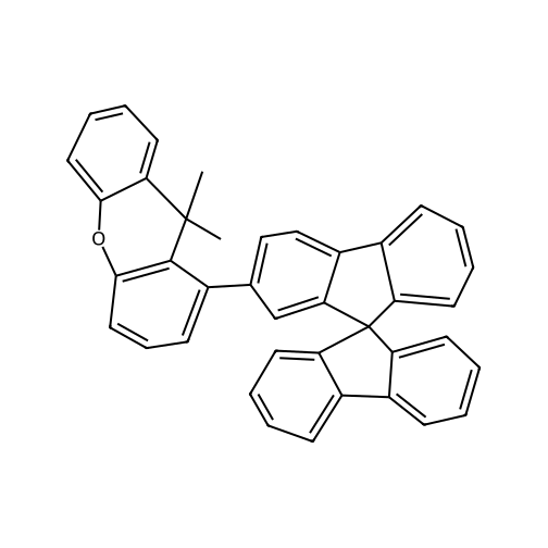 CC1(C)c2ccccc2Oc2cccc(-c3ccc4c(c3)C3(c5ccccc5-c5ccccc53)c3ccccc3-4)c21